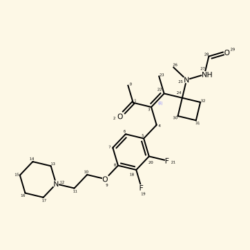 CC(=O)/C(Cc1ccc(OCCN2CCCCC2)c(F)c1F)=C(\C)C1(N(C)NC=O)CCC1